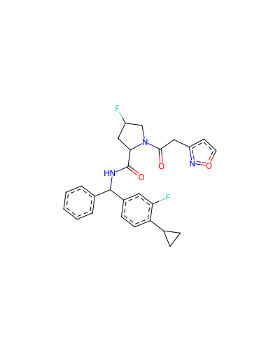 O=C(NC(c1ccccc1)c1ccc(C2CC2)c(F)c1)C1CC(F)CN1C(=O)Cc1ccon1